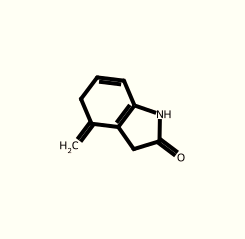 C=C1CC=CC2=C1CC(=O)N2